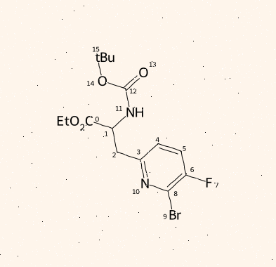 CCOC(=O)C(Cc1ccc(F)c(Br)n1)NC(=O)OC(C)(C)C